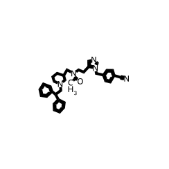 CC(=O)N(CCc1cncn1Cc1ccc(C#N)cc1)CC1CCCN(CC(c2ccccc2)c2ccccc2)C1